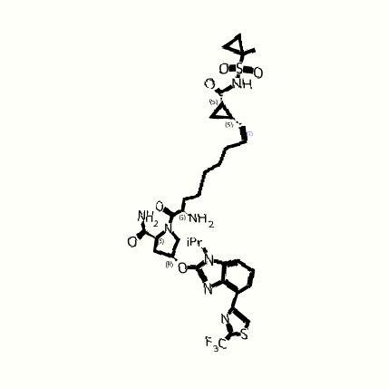 CC(C)n1c(O[C@@H]2C[C@@H](C(N)=O)N(C(=O)[C@@H](N)CCCCC/C=C\[C@@H]3C[C@@H]3C(=O)NS(=O)(=O)C3(C)CC3)C2)nc2c(-c3csc(C(F)(F)F)n3)cccc21